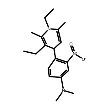 CCC1=C(C)N(CC)C(C)=CC1c1ccc(N(C)C)cc1[N+](=O)[O-]